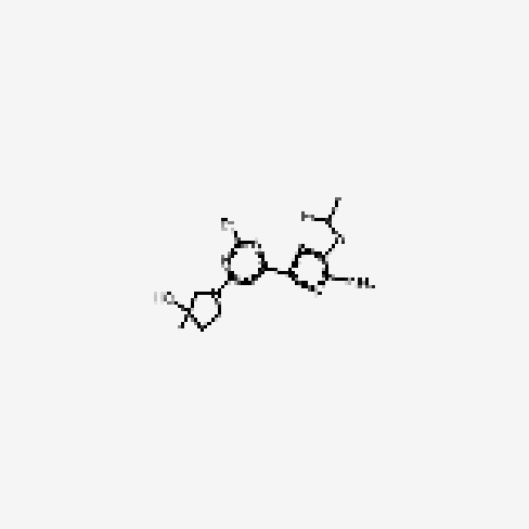 CCc1nc(-c2cnc(N)c(OC(F)F)c2)cc(N2CCC(C)(O)C2)n1